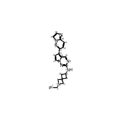 CC(C)CN1CC2(CC(Nc3ncc4c(-c5ccc6nccn6n5)ccn4n3)C2)C1